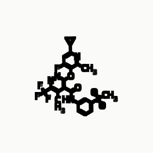 Cc1nc(C2CC2)cc(F)c1Oc1nnc(C(F)(F)F)c(C)c1C(=O)Nc1cccc(S(C)(=O)=O)c1